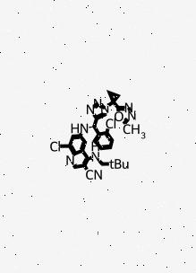 Cc1nnc(C2(n3cc([C@@H](Nc4cc(Cl)c5ncc(C#N)c(NCC(C)(C)C)c5c4)c4ccccc4Cl)nn3)CC2)o1